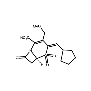 COCC1=C(C(=O)O)N2C(=O)C[C@@H]2S(=O)(=O)/C1=C\C1CCCC1